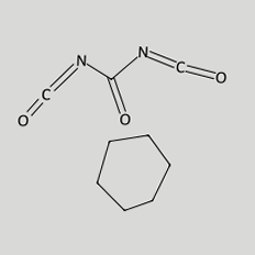 C1CCCCC1.O=C=NC(=O)N=C=O